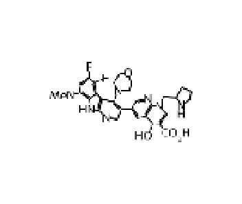 CNc1cc(F)c(F)c2c1[nH]c1ncc(-c3cnc4c(c3)C(O)C(C(=O)O)=CN4CC3CCCN3)c(N3CCOCC3)c12